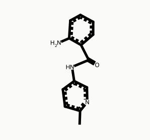 Cc1ccc(NC(=O)c2ccccc2N)cn1